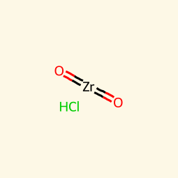 Cl.[O]=[Zr]=[O]